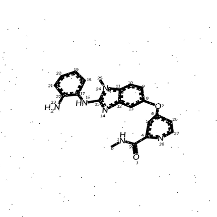 CNC(=O)c1cc(Oc2ccc3c(c2)nc(Nc2ccccc2N)n3C)ccn1